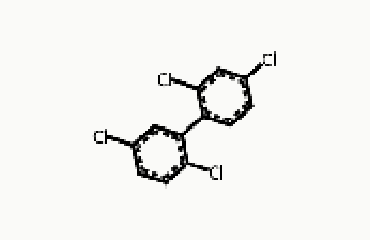 Clc1ccc(-c2cc(Cl)c[c]c2Cl)c(Cl)c1